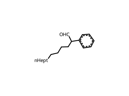 CCCCCCCCCCCC(C=O)c1ccccc1